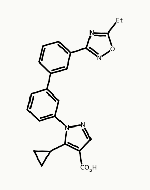 CCc1nc(-c2cccc(-c3cccc(-n4ncc(C(=O)O)c4C4CC4)c3)c2)no1